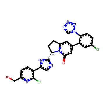 O=c1cc(-c2cc(Cl)ccc2-n2cnnn2)cc2n1[C@H](c1ncc(-c3ccc(CO)nc3Cl)[nH]1)CC2